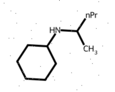 CCCC(C)NC1CCCCC1